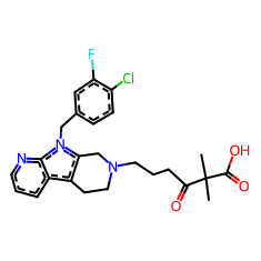 CC(C)(C(=O)O)C(=O)CCCN1CCc2c(n(Cc3ccc(Cl)c(F)c3)c3ncccc23)C1